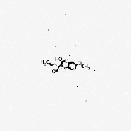 C=CC[C@@H](C=O)[C@H](Nc1ccc(OC)cc1)C(=O)O